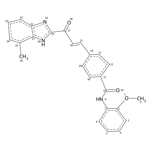 COc1ccccc1NC(=O)c1ccc(C=CC(=O)c2nc3cccc(C)c3[nH]2)cc1